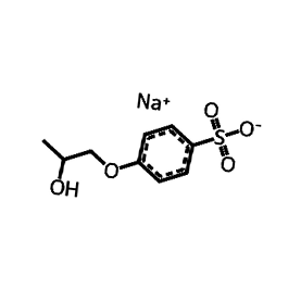 CC(O)COc1ccc(S(=O)(=O)[O-])cc1.[Na+]